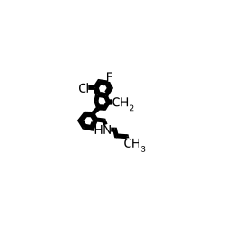 C=C1C=C(c2ccccc2CNCCCC)Cc2c(Cl)cc(F)cc21